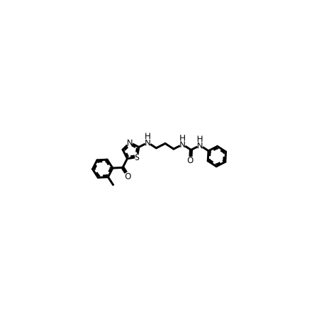 Cc1ccccc1C(=O)c1cnc(NCCCNC(=O)Nc2ccccc2)s1